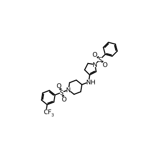 O=S(=O)(c1ccccc1)N1C=C(NC2CCN(S(=O)(=O)c3cccc(C(F)(F)F)c3)CC2)CC1